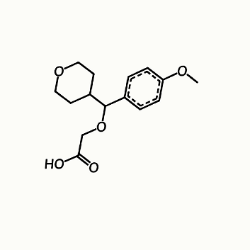 COc1ccc(C(OCC(=O)O)C2CCOCC2)cc1